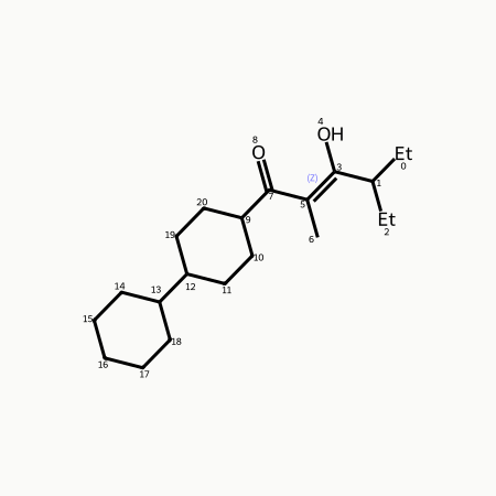 CCC(CC)/C(O)=C(\C)C(=O)C1CCC(C2CCCCC2)CC1